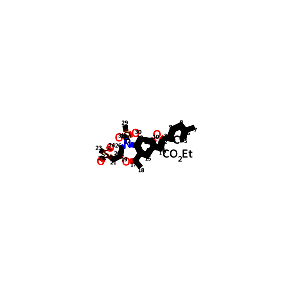 CCOC(=O)c1c(-c2ccc(C)cc2)oc2cc3c(cc12)C(C)OC(CS(C)(=O)=O)CN3S(C)(=O)=O